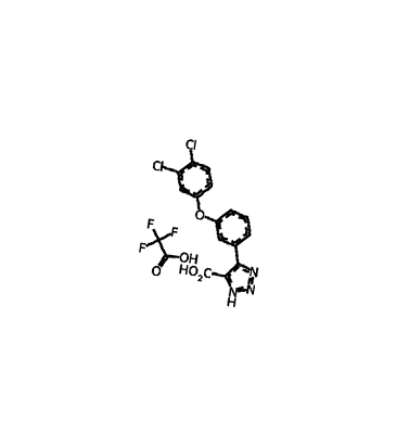 O=C(O)C(F)(F)F.O=C(O)c1[nH]nnc1-c1cccc(Oc2ccc(Cl)c(Cl)c2)c1